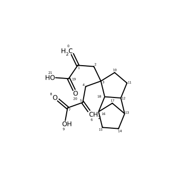 C=C(CC1(CC(=C)C(=O)O)CCC2C3CCC(C3)C21)C(=O)O